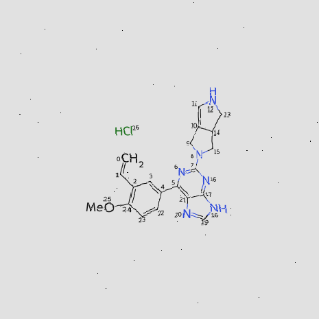 C=Cc1cc(-c2nc(N3CC4=CNCC4C3)nc3[nH]cnc23)ccc1OC.Cl